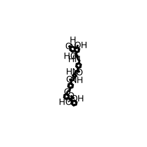 O=C(NC1CC(NC(=O)c2ccc(COc3cccc([C@](O)(C(=O)O)c4ccccc4)c3)cc2)C1)c1ccc(CNC[C@H](O)c2ccc(O)c3[nH]c(=O)ccc23)cc1